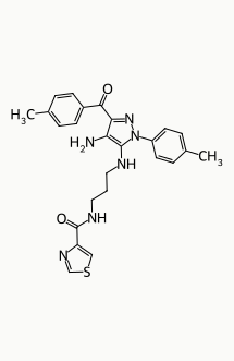 Cc1ccc(C(=O)c2nn(-c3ccc(C)cc3)c(NCCCNC(=O)c3cscn3)c2N)cc1